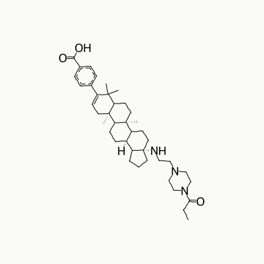 CCC(=O)N1CCN(CCN[C@]23CCCC2[C@H]2CCC4[C@@](C)(CCC5C(C)(C)C(c6ccc(C(=O)O)cc6)=CC[C@@]54C)C2CC3)CC1